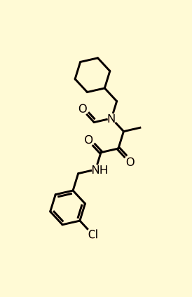 CC(C(=O)C(=O)NCc1cccc(Cl)c1)N(C=O)CC1CCCCC1